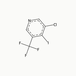 FC(F)(F)c1cncc(Cl)c1I